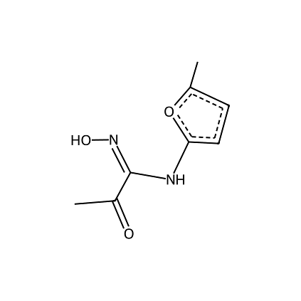 CC(=O)C(=NO)Nc1ccc(C)o1